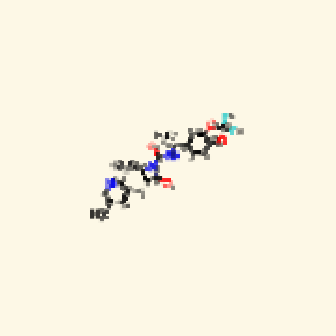 Cc1cncc(C[C@H]2C(=O)N(C(=O)N[C@H](C)c3ccc4c(c3)OC(F)(F)O4)[C@@H]2C(=O)O)c1